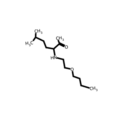 CCCCOCCNC(CCC(C)C)C(C)=O